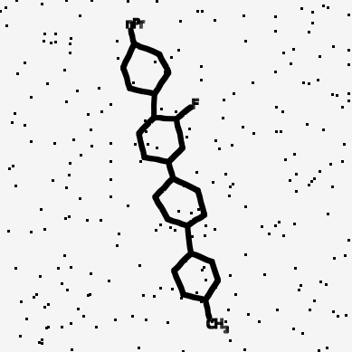 CCCC1CCC(C2CCC(C3CCC(C4CCC(C)CC4)CC3)CC2F)CC1